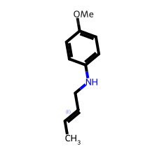 C/C=C/CNc1ccc(OC)cc1